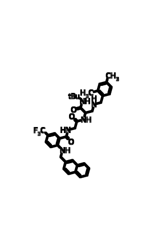 Cc1ccc(CNCC(NC(=O)CNC(=O)c2cc(C(F)(F)F)ccc2NCc2ccc3ccccc3c2)C(=O)NC(C)(C)C)c(C)c1